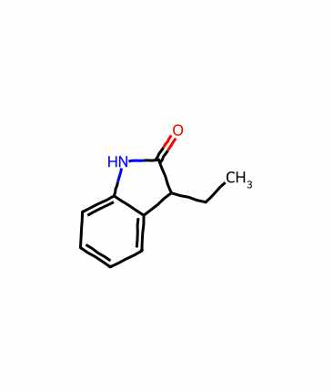 CCC1C(=O)Nc2ccccc21